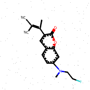 CC(=C(C#N)C#N)c1cc2ccc(N(C)CCF)cc2oc1=O